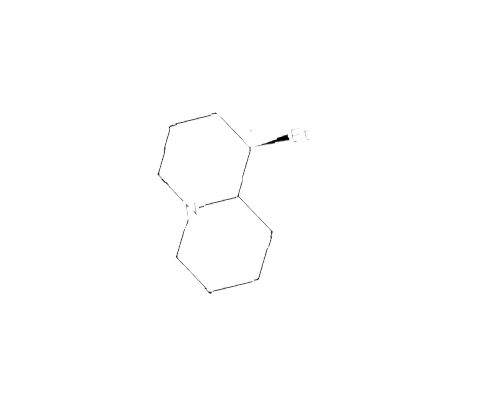 CC[C@@H]1CCCN2CCCCC12